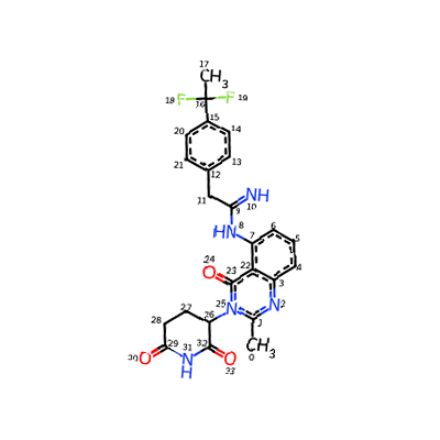 Cc1nc2cccc(NC(=N)Cc3ccc(C(C)(F)F)cc3)c2c(=O)n1C1CCC(=O)NC1=O